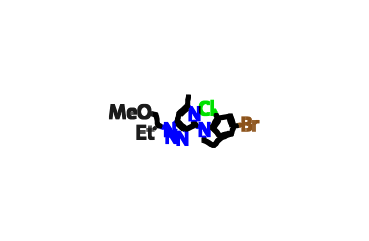 CC[C@H](COC)n1nnc2c(N3CCc4cc(Br)cc(Cl)c43)nc(C)cc21